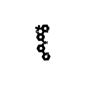 CC1(C)Oc2ccc(Nc3cccc(-c4ccccn4)c3)cc2-c2ncccc21